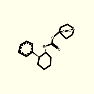 O=C(N[C@@H]1CCCC[C@H]1c1ccccc1)OC12CCN(CC1)CC2